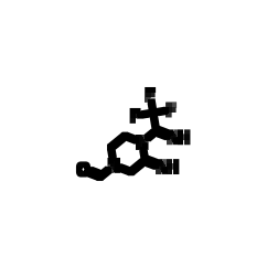 N=C1CN(C=O)CCN1C(=N)C(F)(F)F